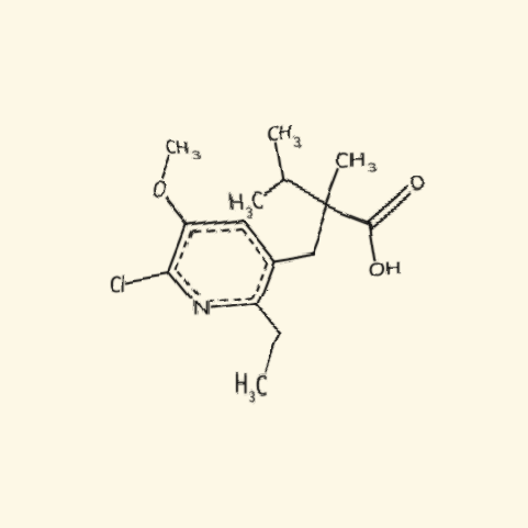 CCc1nc(Cl)c(OC)cc1CC(C)(C(=O)O)C(C)C